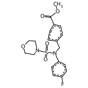 COC(=O)c1ccc(CN(c2ccc(F)cc2)S(=O)(=O)N2CCOCC2)cc1